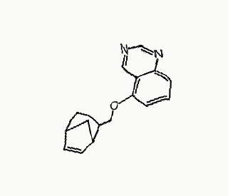 C1=CC2CC1CC2COc1cccc2ncncc12